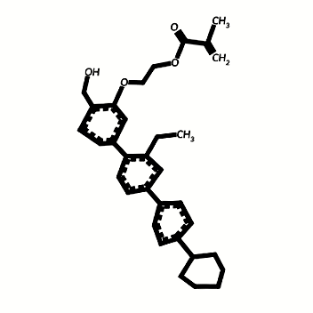 C=C(C)C(=O)OCCOc1cc(-c2ccc(-c3ccc(C4CCCCC4)cc3)cc2CC)ccc1CO